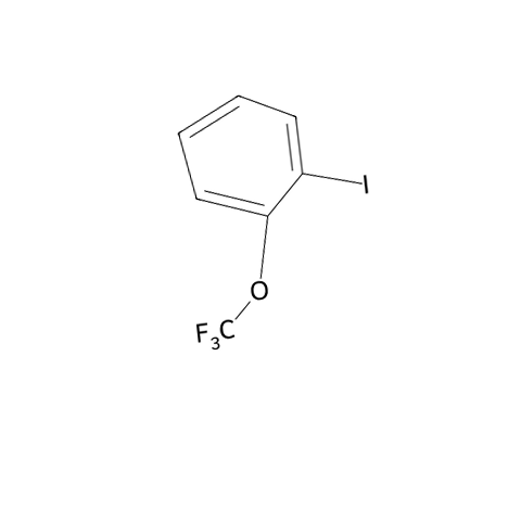 FC(F)(F)Oc1ccccc1I